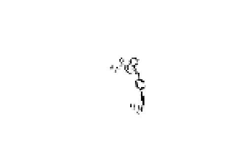 CC(=O)N1CCN(Cc2ccc(C#CCN)cc2)c2ccccc21